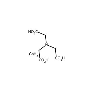 O=C(O)CN(CC(=O)O)CC(=O)O.[GaH3]